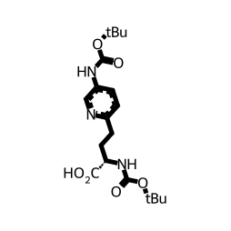 CC(C)(C)OC(=O)Nc1ccc(CC[C@H](NC(=O)OC(C)(C)C)C(=O)O)nc1